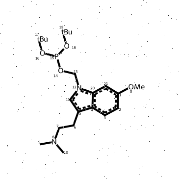 COc1ccc2c(CCN(C)C)cn(COP(OC(C)(C)C)OC(C)(C)C)c2c1